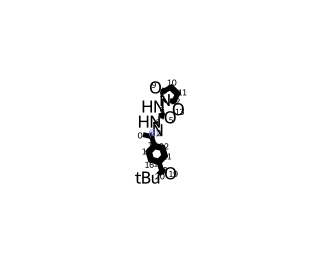 C/C(=N\NC(=O)NN1C(=O)C=CC1=O)c1ccc(C(=O)C(C)(C)C)cc1